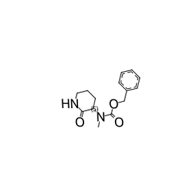 CN(C(=O)OCc1ccccc1)[C@H]1CCCNC1=O